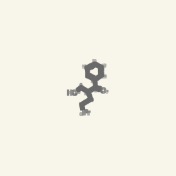 CC(C)CCC(CO)C(=O)c1ccccc1